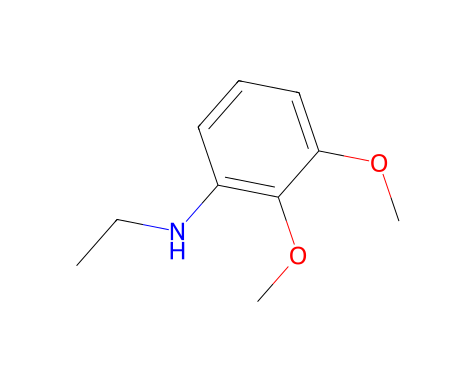 CCNc1cccc(OC)c1OC